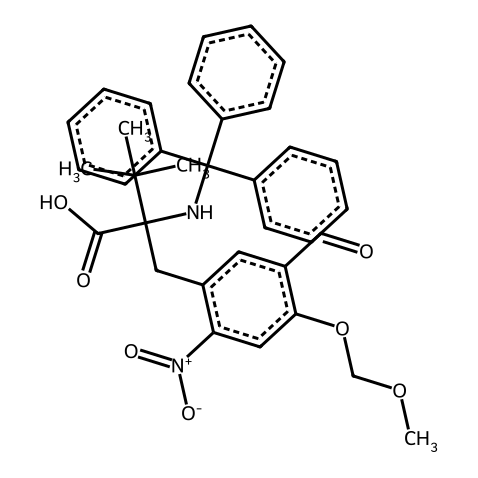 COCOc1cc([N+](=O)[O-])c(CC(NC(c2ccccc2)(c2ccccc2)c2ccccc2)(C(=O)O)C(C)(C)C)cc1C=O